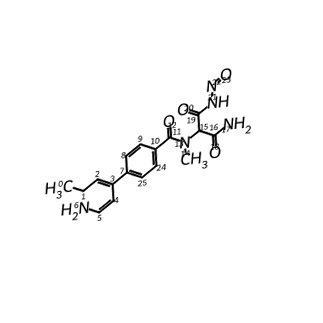 CC/C=C(\C=C/N)c1ccc(C(=O)N(C)C(C(N)=O)C(=O)NN=O)cc1